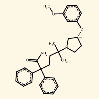 COc1cccc(O[C@@H]2CCN(C(C)(C)CCC(C(N)=O)(c3ccccc3)c3ccccc3)C2)c1